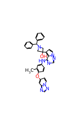 Cc1cc(Nc2ncnn3ccc(C4(O)CN(C(c5ccccc5)c5ccccc5)C4)c23)ccc1Oc1ccn2ncnc2c1